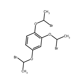 CC(Br)Oc1ccc(OC(C)Br)c(OC(C)Br)c1